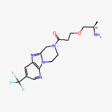 C[C@@H](N)COCCC(=O)N1CCn2c(nc3cc(C(F)(F)F)cnc32)C1